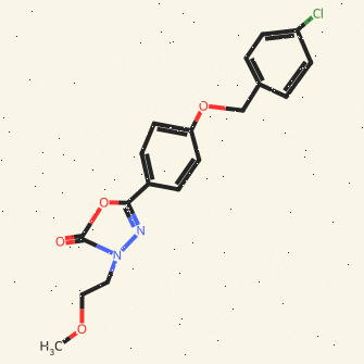 COCCn1nc(-c2ccc(OCc3ccc(Cl)cc3)cc2)oc1=O